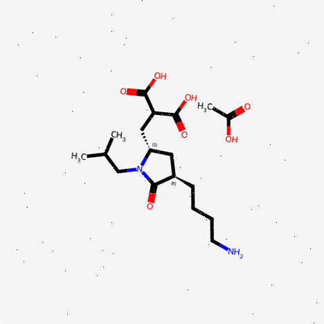 CC(=O)O.CC(C)CN1C(=O)[C@H](CCCCN)C[C@H]1CC(C(=O)O)C(=O)O